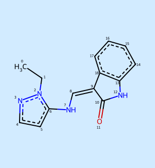 CCn1nccc1N/C=C1\C(=O)Nc2ccccc21